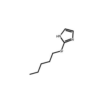 CCCCC[Si]c1ncc[nH]1